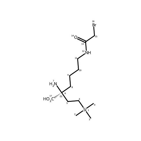 C[Si](C)(C)CC[C@@](N)(CCCCNC(=O)CBr)C(=O)O